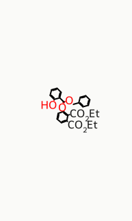 CCOC(=O)c1ccccc1C(=O)OCC.O=C(OCc1ccccc1)c1ccccc1O